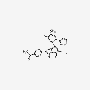 Cn1cc(-c2ccccc2)c(-c2cn(C)c(=O)c3[nH]c(-c4ccc([S+](C)[O-])cc4)cc23)cc1=O